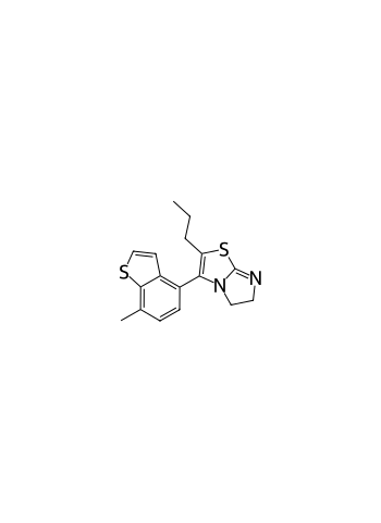 CCCC1=C(c2ccc(C)c3sccc23)N2CCN=C2S1